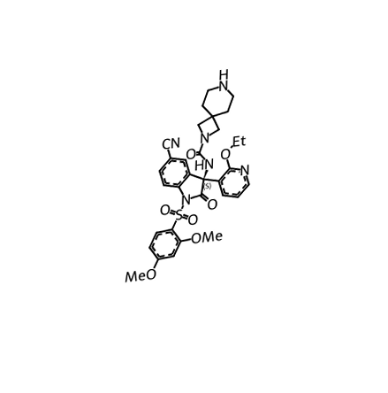 CCOc1ncccc1[C@]1(NC(=O)N2CC3(CCNCC3)C2)C(=O)N(S(=O)(=O)c2ccc(OC)cc2OC)c2ccc(C#N)cc21